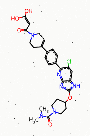 CN(C)C(=O)N1CCC(Oc2nc3nc(-c4ccc(C5=CCN(C(=O)C=C(O)O)CC5)cc4)c(Cl)cc3[nH]2)CC1